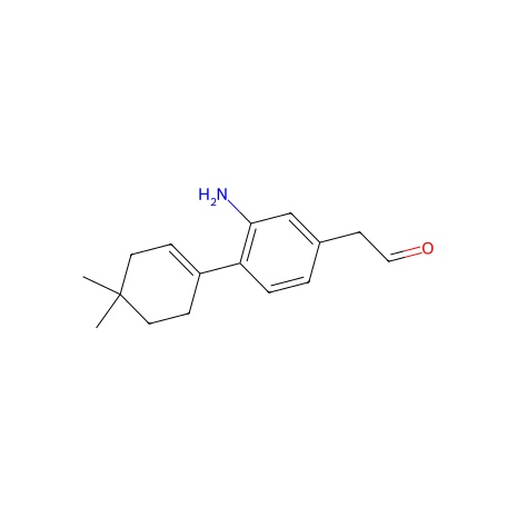 CC1(C)CC=C(c2ccc(CC=O)cc2N)CC1